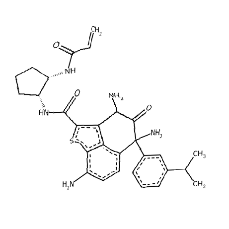 C=CC(=O)N[C@H]1CCC[C@H]1NC(=O)c1sc2c(N)ccc3c2c1C(N)C(=O)C3(N)c1cccc(C(C)C)c1